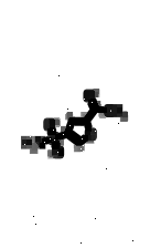 CC(=O)c1cc(S(N)(=O)=O)co1